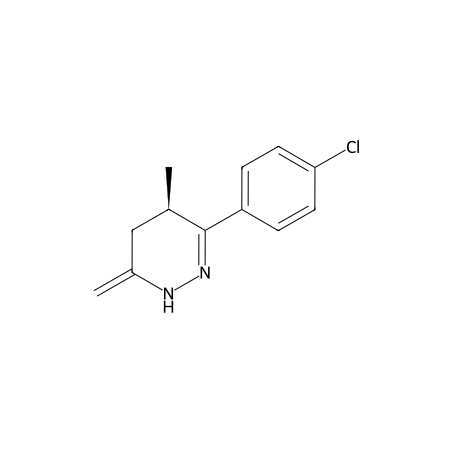 C=C1C[C@@H](C)C(c2ccc(Cl)cc2)=NN1